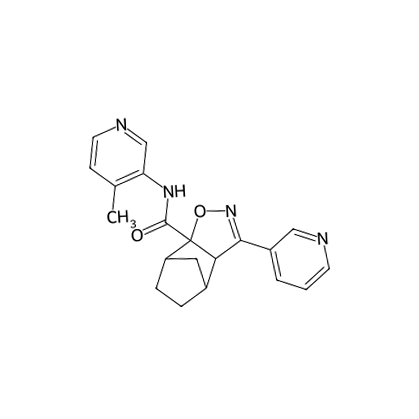 Cc1ccncc1NC(=O)C12ON=C(c3cccnc3)C1C1CCC2C1